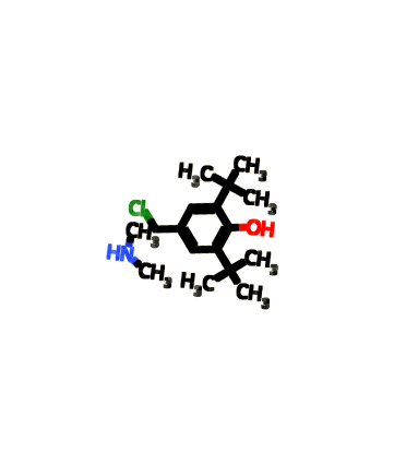 CC(C)(C)c1cc(CCl)cc(C(C)(C)C)c1O.CNC